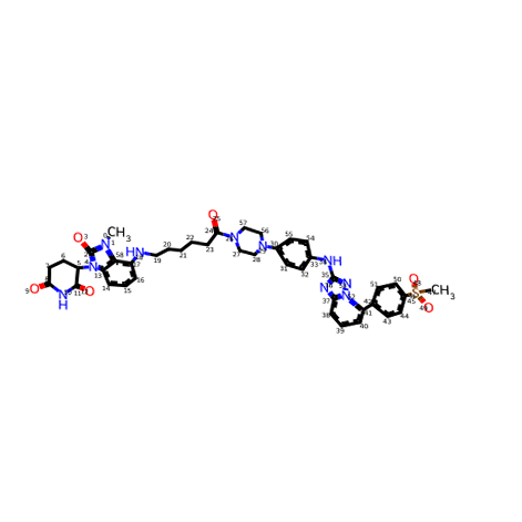 Cn1c(=O)n(C2CCC(=O)NC2=O)c2cccc(NCCCCCC(=O)N3CCN(c4ccc(Nc5nc6cccc(-c7ccc(S(C)(=O)=O)cc7)n6n5)cc4)CC3)c21